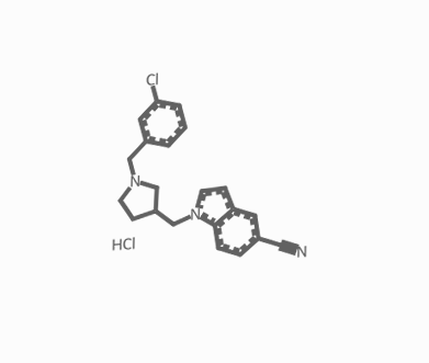 Cl.N#Cc1ccc2c(ccn2CC2CCN(Cc3cccc(Cl)c3)C2)c1